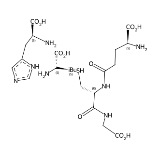 CC[C@H](C)[C@H](N)C(=O)O.N[C@@H](CCC(=O)N[C@@H](CS)C(=O)NCC(=O)O)C(=O)O.N[C@@H](Cc1cnc[nH]1)C(=O)O